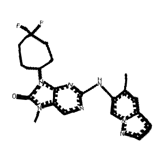 Cc1cc2ccnn2cc1Nc1ncc2c(n1)n(C1CCC(F)(F)CC1)c(=O)n2C